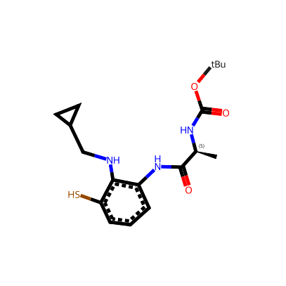 C[C@H](NC(=O)OC(C)(C)C)C(=O)Nc1cccc(S)c1NCC1CC1